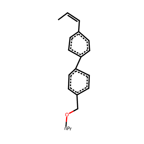 C/C=C\c1ccc(-c2ccc(COCCC)cc2)cc1